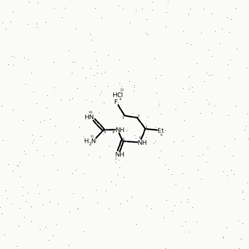 CCC(CCF)NC(=N)NC(=N)N.Cl